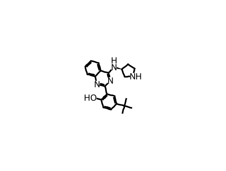 CC(C)(C)c1ccc(O)c(-c2nc(N[C@H]3CCNC3)c3ccccc3n2)c1